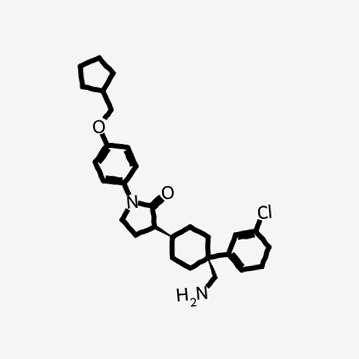 NC[C@]1(C2=CCCC(Cl)=C2)CC[C@H](C2CCN(c3ccc(OCC4CCCC4)cc3)C2=O)CC1